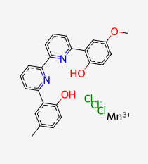 COc1ccc(O)c(-c2cccc(-c3cccc(-c4cc(C)ccc4O)n3)n2)c1.[Cl-].[Cl-].[Cl-].[Mn+3]